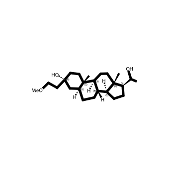 COCC[C@@]1(O)CC[C@@]2(C)[C@@H](CC[C@@H]3[C@@H]2CC[C@]2(C)[C@@H](C(C)O)CC[C@@H]32)C1